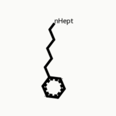 CCCCCCCCCCCCc1[c]cc[c]c1